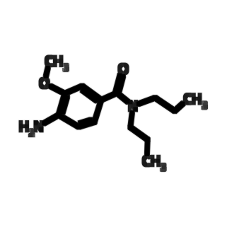 CCCN(CCC)C(=O)c1ccc(N)c(OC)c1